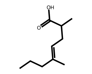 CCCC(C)=CCC(C)C(=O)O